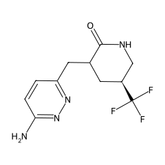 Nc1ccc(CC2C[C@H](C(F)(F)F)CNC2=O)nn1